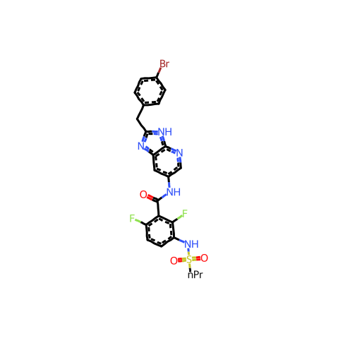 CCCS(=O)(=O)Nc1ccc(F)c(C(=O)Nc2cnc3[nH]c(Cc4ccc(Br)cc4)nc3c2)c1F